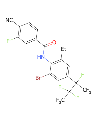 CCc1cc(C(F)(C(F)(F)F)C(F)(F)C(F)(F)F)cc(Br)c1NC(=O)c1ccc(C#N)c(F)c1